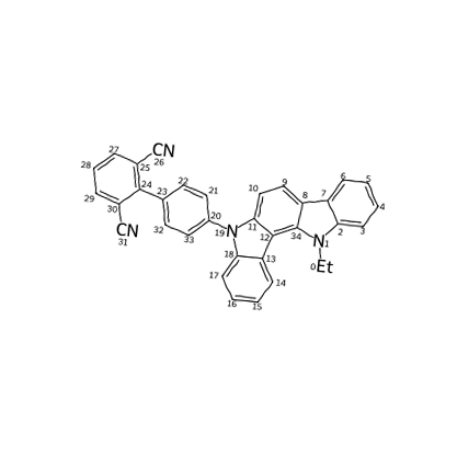 CCn1c2ccccc2c2ccc3c(c4ccccc4n3-c3ccc(-c4c(C#N)cccc4C#N)cc3)c21